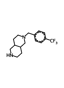 FC(F)(F)c1ccc(CN2CCC3CNCCC3C2)cc1